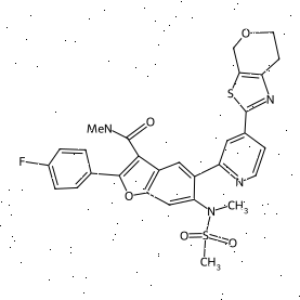 CNC(=O)c1c(-c2ccc(F)cc2)oc2cc(N(C)S(C)(=O)=O)c(-c3cc(-c4nc5c(s4)COCC5)ccn3)cc12